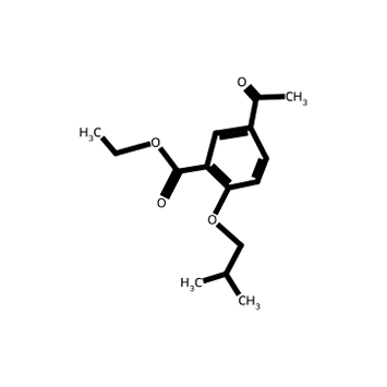 CCOC(=O)c1cc(C(C)=O)ccc1OCC(C)C